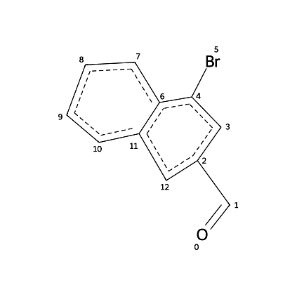 O=Cc1cc(Br)c2ccccc2c1